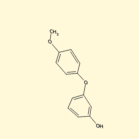 COc1ccc(Oc2cccc(O)c2)cc1